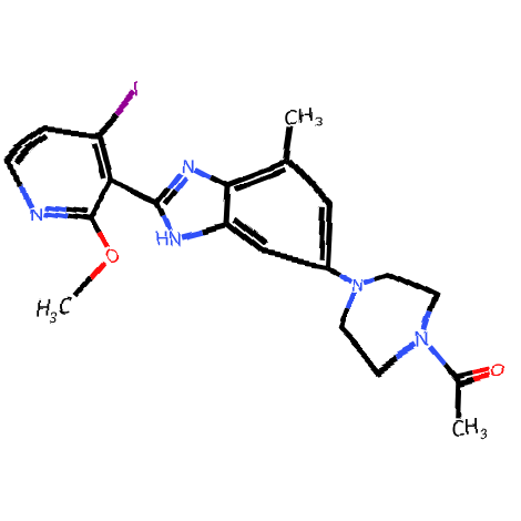 COc1nccc(I)c1-c1nc2c(C)cc(N3CCN(C(C)=O)CC3)cc2[nH]1